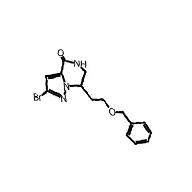 O=C1NCC(CCOCc2ccccc2)n2nc(Br)cc21